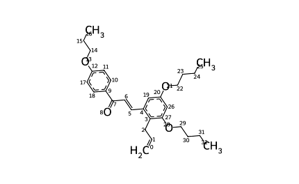 C=CCc1c(C=CC(=O)c2ccc(OCCC)cc2)cc(OCCCC)cc1OCCCC